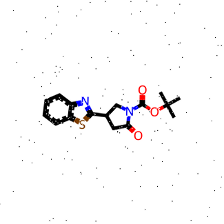 CC(C)(C)OC(=O)N1CC(c2nc3ccccc3s2)CC1=O